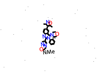 CNC(=O)Cn1cc(-c2nc(N3CCOC[C@@H]3c3ccccc3)c3cc(-c4c(C)noc4C)ccc3n2)cn1